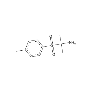 Cc1ccc(S(=O)(=O)C(C)(C)N)cc1